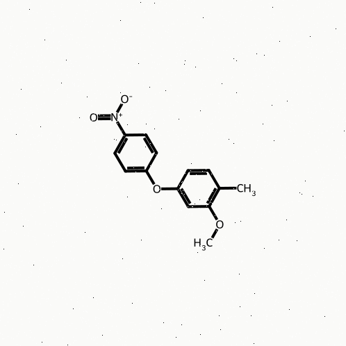 COc1cc(Oc2ccc([N+](=O)[O-])cc2)ccc1C